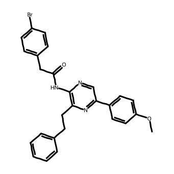 COc1ccc(-c2cnc(NC(=O)Cc3ccc(Br)cc3)c(CCc3ccccc3)n2)cc1